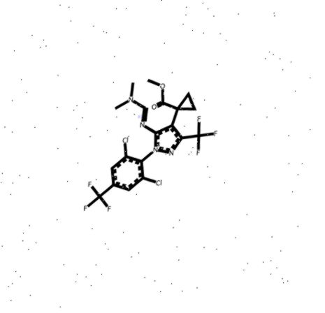 COC(=O)C1(c2c(C(F)(F)F)nn(-c3c(Cl)cc(C(F)(F)F)cc3Cl)c2/N=C/N(C)C)CC1